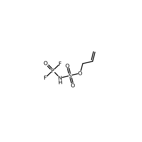 C=CCOS(=O)(=O)NP(=O)(F)F